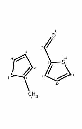 Cc1cc[c]s1.O=Cc1cc[c]s1